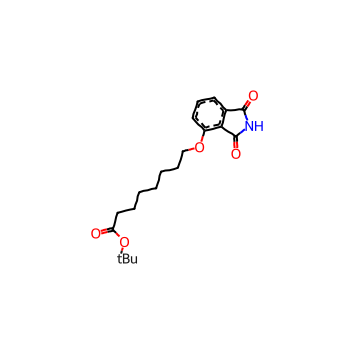 CC(C)(C)OC(=O)CCCCCCCOc1cccc2c1C(=O)NC2=O